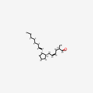 CCCCCC/C=C/[C@H]1CCC[C@@H]1C/C=C\CC(C)C=O